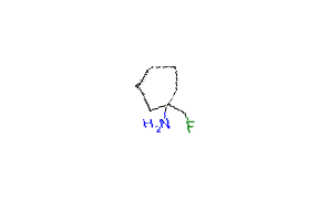 NC1(CF)CCCCC1